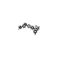 Cn1cc(-c2ccc3c(N4CCN(c5ncc(C(N[S+]([O-])C(C)(C)C)c6ccc(F)cc6)cn5)CC4)cnn3c2)cn1